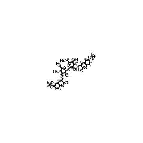 O=c1oc2ccc(OC(F)(F)F)cc2cc1COC1[C@@H](O)C(CO)O[C@@H](S[C@@H]2OC(CO)[C@H](O)C(OCc3cc4cc(OC(F)(F)F)ccc4oc3=O)[C@@H]2O)[C@@H]1O